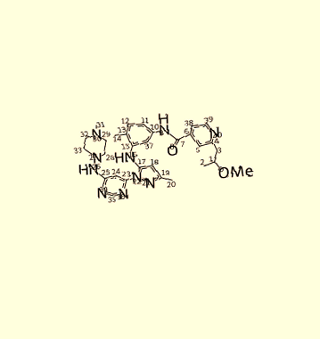 COC(C)Cc1cc(C(=O)Nc2ccc(C)c(Nc3cc(C)nn3-c3cc(NN4CCN(C)CC4)ncn3)c2)ccn1